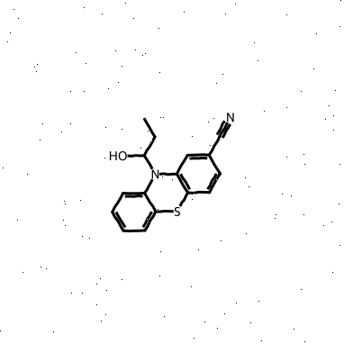 CCC(O)N1c2ccccc2Sc2ccc(C#N)cc21